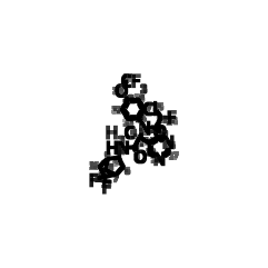 C[C@@](C(=O)N[C@@H]1CC2CC1CC2(F)F)(c1cncnc1)N(C(=O)[C@H](F)Cl)c1ccc(OC(F)(F)F)cc1